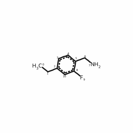 CCc1ccc(CN)c(F)c1